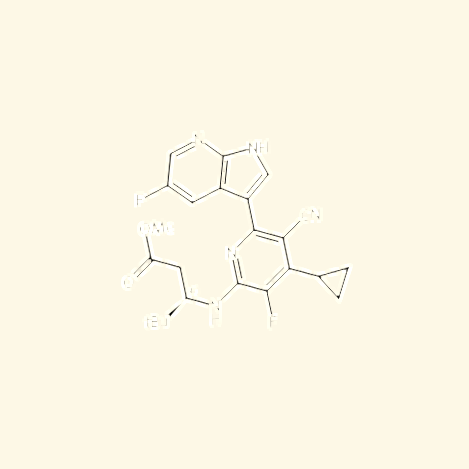 COC(=O)C[C@@H](Nc1nc(-c2c[nH]c3ncc(F)cc23)c(C#N)c(C2CC2)c1F)C(C)(C)C